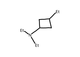 CCC1CC(N(CC)CC)C1